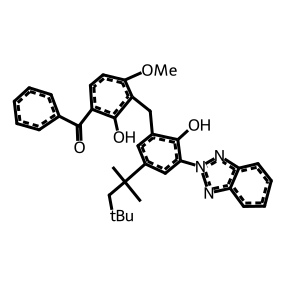 COc1ccc(C(=O)c2ccccc2)c(O)c1Cc1cc(C(C)(C)CC(C)(C)C)cc(-n2nc3ccccc3n2)c1O